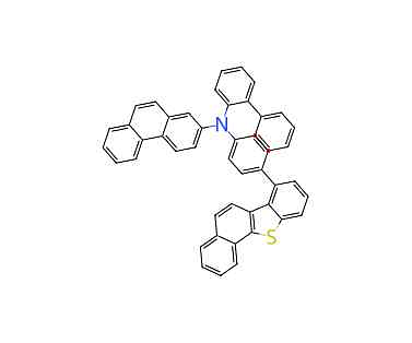 c1ccc(-c2ccccc2N(c2ccc(-c3cccc4sc5c6ccccc6ccc5c34)cc2)c2ccc3c(ccc4ccccc43)c2)cc1